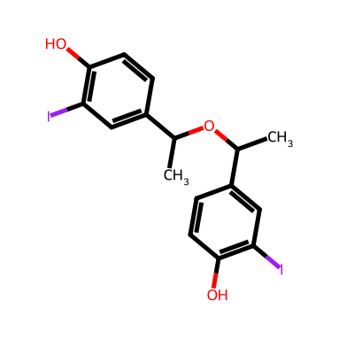 CC(OC(C)c1ccc(O)c(I)c1)c1ccc(O)c(I)c1